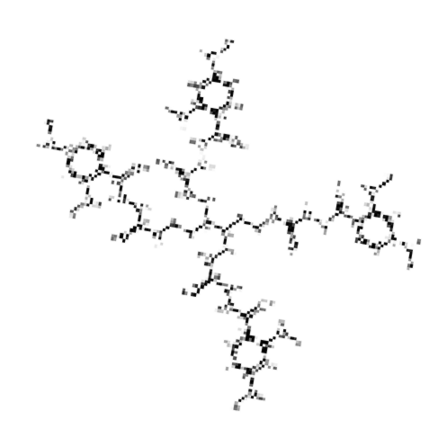 COc1ccc(C(=O)OOC(=O)OCCC(COC(=O)OOC(=O)c2ccc(OC)cc2OC)C(CCOC(=O)OOC(=O)c2ccc(OC)cc2OC)COC(=O)OOC(=O)c2ccc(OC)cc2OC)c(OC)c1